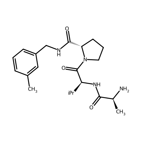 Cc1cccc(CNC(=O)[C@@H]2CCCN2C(=O)[C@@H](NC(=O)[C@H](C)N)C(C)C)c1